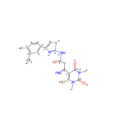 Cn1c(S)c(C(=N)CC(=O)Nc2nc(-c3ccc(F)c(C(F)(F)F)c3)cs2)c(=O)n(C)c1=O